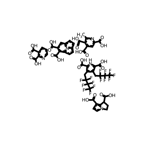 Cc1nc(C(=O)O)cc(C(=O)O)c1C(=O)O.O=C(O)c1[nH]c(C(=O)O)c(CC(F)(F)C(F)(F)C(F)(F)F)c1CC(F)(F)C(F)(F)C(F)(F)F.O=C(O)c1cc2ccc3ccc(c1C(=O)O)n32.O=C(O)c1cccnc1C(=O)O.O=C(O)c1ccn2c1C(C(=O)O)CC2